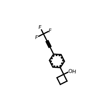 OC1(c2ccc(C#CC(F)(F)F)cc2)CCC1